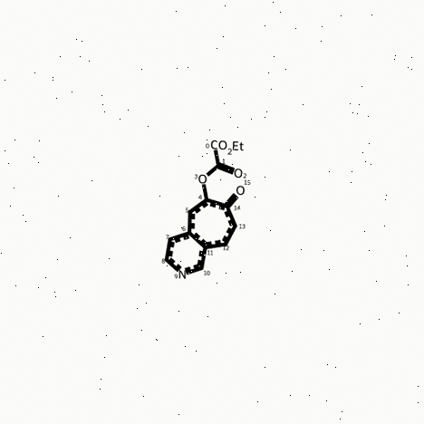 CCOC(=O)C(=O)Oc1cc2ccncc2ccc1=O